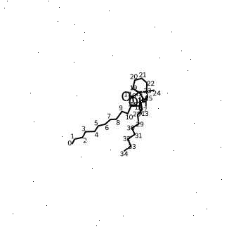 CCCCCCCCCCCCC(C)CC1(C(=O)O)CCCCC1(C)CCCCCCCCCC